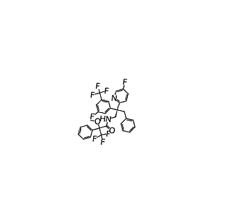 COC(C(=O)NC[C@@](Cc1ccccc1)(c1cc(F)cc(C(F)(F)F)c1)c1ccc(F)cn1)(c1ccccc1)C(F)(F)F